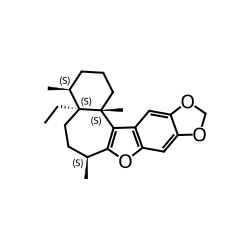 CC[C@@]12CC[C@H](C)c3oc4cc5c(cc4c3[C@@]1(C)CCC[C@@H]2C)OCO5